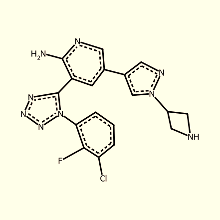 Nc1ncc(-c2cnn(C3CNC3)c2)cc1-c1nnnn1-c1cccc(Cl)c1F